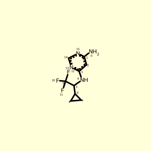 Nc1cc(NC(C2CC2)C(F)(F)F)ncn1